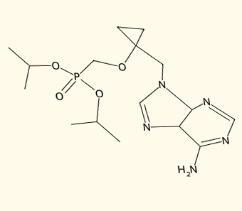 CC(C)OP(=O)(COC1(CN2C=NC3C(N)=NC=NC32)CC1)OC(C)C